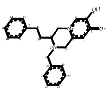 O=c1cc2n(cc1O)CC(CCc1ccccc1)N(Cc1ccccc1)C2